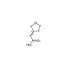 O=C(O)/C=C1\CCOC1